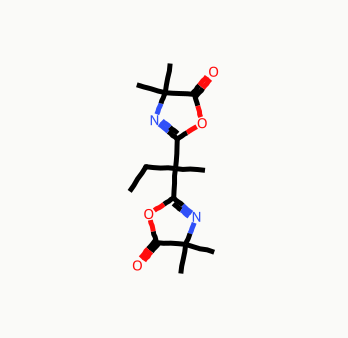 CCC(C)(C1=NC(C)(C)C(=O)O1)C1=NC(C)(C)C(=O)O1